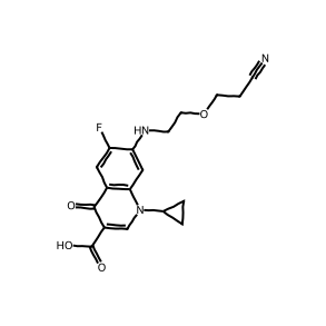 N#CCCOCCNc1cc2c(cc1F)c(=O)c(C(=O)O)cn2C1CC1